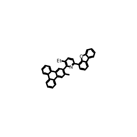 CCc1ccc(-c2cccc3c2oc2ccccc23)nc1-c1cc2c3ccccc3c3ccccc3c2cc1C